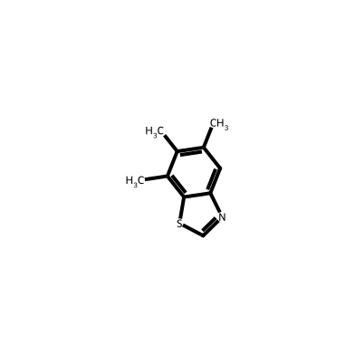 Cc1cc2ncsc2c(C)c1C